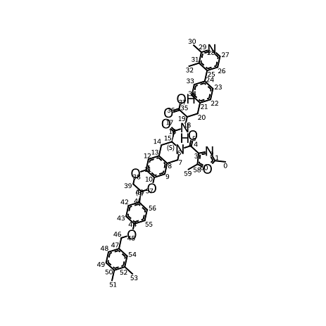 Cc1nc(C(=O)N2Cc3cc4c(cc3C[C@H]2C(=O)NC(Cc2ccc(-c3ccnc(C)c3C)cc2)C(=O)O)OC[C@H](c2ccc(OCc3ccc(C)c(C)c3)cc2)O4)c(C)o1